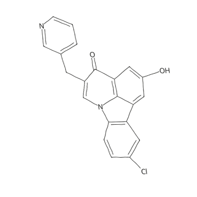 O=c1c(Cc2cccnc2)cn2c3ccc(Cl)cc3c3cc(O)cc1c32